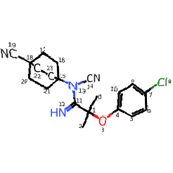 CC(C)(Oc1ccc(Cl)cc1)C(=N)N(C#N)C12CCC(C#N)(CC1)CC2